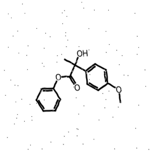 COc1ccc(C(C)(O)C(=O)Oc2ccccc2)cc1